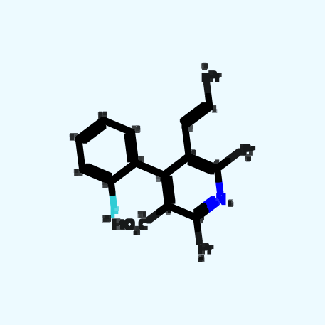 CCC/C=C/c1c(C(C)C)nc(C(C)C)c(C(=O)OCC)c1-c1ccccc1F